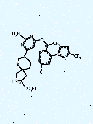 CCOC(=O)[C@@H]1CC2(CCN(c3cc(O[C@H](c4ccc(Cl)cc4-n4ccc(C(F)(F)F)n4)C(F)(F)F)nc(N)n3)CC2)CN1